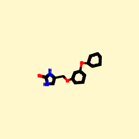 O=c1[nH]cc(COc2cccc(Oc3ccccc3)c2)[nH]1